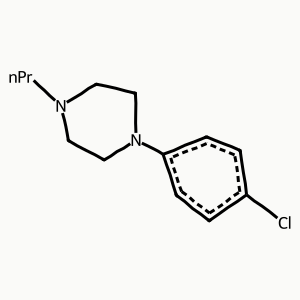 [CH2]CCN1CCN(c2ccc(Cl)cc2)CC1